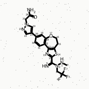 CNN(CC(F)(F)F)C(=N)c1nc2c(s1)CCOc1cc(-c3cnn(CC(N)=O)c3)ccc1-2